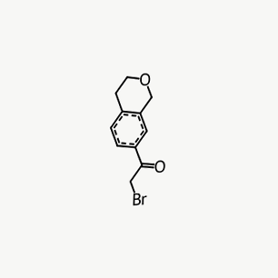 O=C(CBr)c1ccc2c(c1)COCC2